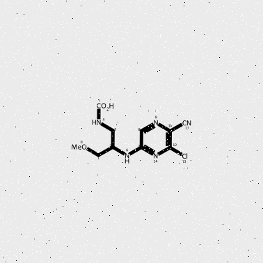 COCC(CNC(=O)O)Nc1cnc(C#N)c(Cl)n1